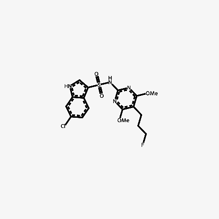 COc1nc(NS(=O)(=O)c2c[nH]c3cc(Cl)ccc23)nc(OC)c1CCCF